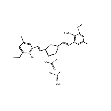 CC(=O)[O-].CC(=O)[O-].CCc1cc(C)cc(C=NC2CCC(N=Cc3cc(C)cc(CC)c3O)C2)c1O.[Co+2]